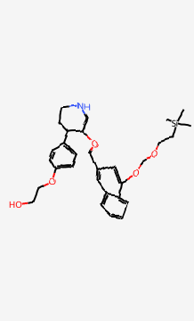 C[Si](C)(C)CCOCOc1cc(COC2CNCCC2c2ccc(OCCO)cc2)cc2ccccc12